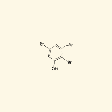 Oc1cc(Br)cc(Br)c1Br